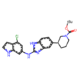 CC(C)(C)OC(=O)N1CCCC(c2ccc3[nH]c(Nc4cc(Cl)c5cc[nH]c5c4)nc3c2)C1